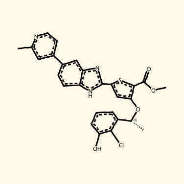 COC(=O)c1sc(-c2nc3cc(-c4ccnc(C)c4)ccc3[nH]2)cc1O[C@H](C)c1cccc(O)c1Cl